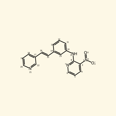 O=[N+]([O-])c1cccnc1Nc1cccc(C=Cc2cccnc2)c1